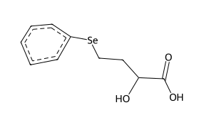 O=C(O)C(O)CC[Se]c1ccccc1